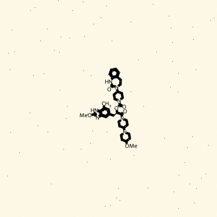 COc1nc2cc(C[C@@H](OC(=O)N3CCC(N4CCc5ccccc5NC4=O)CC3)C(=O)N3CCC(N4CCC(OC)CC4)CC3)cc(C)c2[nH]1